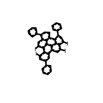 Ic1cc(-c2ccccc2)c2c3ccc(-c4ccccc4)c4cc(I)c5c6c(I)cc(-c7ccccc7)cc6c6cc(I)c1c2c6c5c43